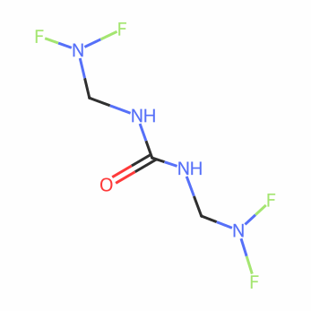 O=C(NCN(F)F)NCN(F)F